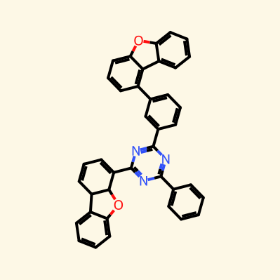 C1=CC2c3ccccc3OC2C(c2nc(-c3ccccc3)nc(-c3cccc(-c4cccc5oc6ccccc6c45)c3)n2)=C1